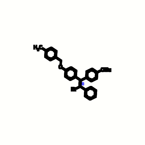 CC/C(=C(\c1ccc(OCc2ccc(C)cc2)cc1)c1ccc(OCC(C)C)cc1)c1ccccc1